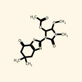 COC1C(OC(C)=O)N(c2nc3c(s2)C(=O)CC(C)(C)C3)C(=O)N1C